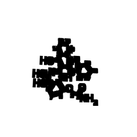 NC(=O)COc1cccc2c1NC(c1c(O)c3cccnc3n(Cc3ccccc3)c1=O)=NS2(O)O